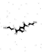 O=C(OCCO)c1coc(C(=O)OCCO)c1